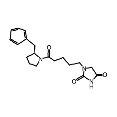 O=C1CN(CCCCC(=O)N2CCC[C@H]2Cc2ccccc2)C(=O)N1